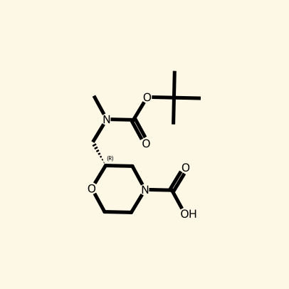 CN(C[C@@H]1CN(C(=O)O)CCO1)C(=O)OC(C)(C)C